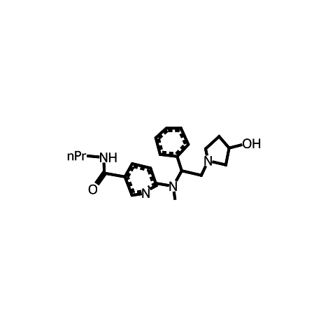 CCCNC(=O)c1ccc(N(C)C(CN2CCC(O)C2)c2ccccc2)nc1